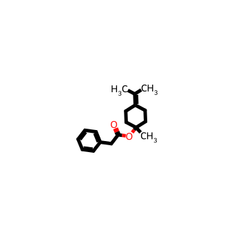 CC(C)=C1CCC(C)(OC(=O)Cc2ccccc2)CC1